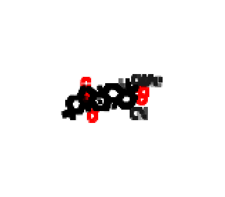 COC(=O)[C@]1(C)C(=O)C(C#N)=C[C@]2(C)C3=CC(=O)[C@]45OC(=O)[C@@]6(CCC(C)(C)CC64)CC[C@@]5(C)[C@]3(C)CC[C@@H]12